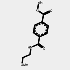 COCCNC(=O)c1ccc(C(=O)OC(C)(C)C)cc1